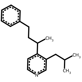 CC(C)Cc1cnccc1C(C)CCc1ccccc1